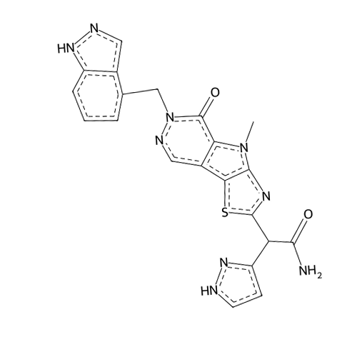 Cn1c2nc(C(C(N)=O)c3cc[nH]n3)sc2c2cnn(Cc3cccc4[nH]ncc34)c(=O)c21